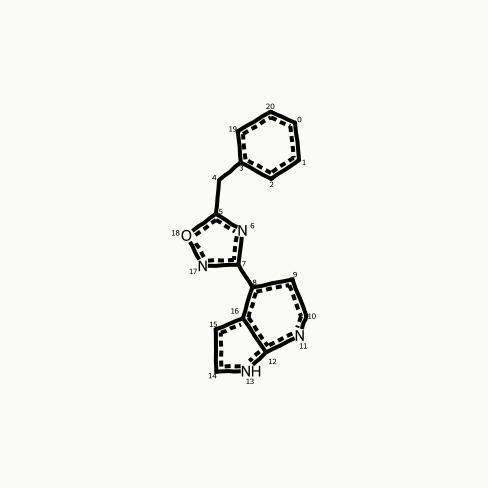 c1ccc(Cc2nc(-c3ccnc4[nH]ccc34)no2)cc1